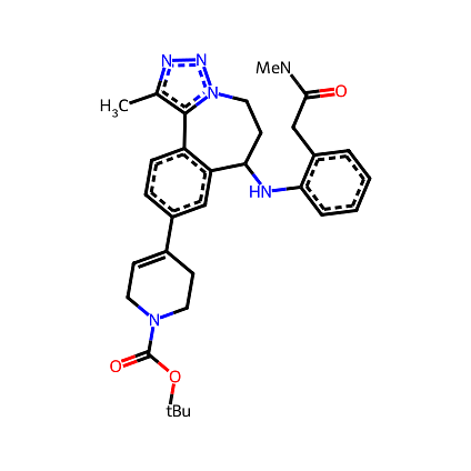 CNC(=O)Cc1ccccc1NC1CCn2nnc(C)c2-c2ccc(C3=CCN(C(=O)OC(C)(C)C)CC3)cc21